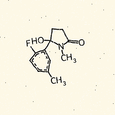 Cc1ccc(F)c(C2(O)CCC(=O)N2C)c1